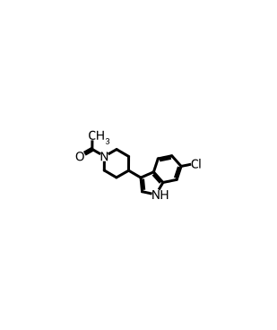 CC(=O)N1CCC(c2c[nH]c3cc(Cl)ccc23)CC1